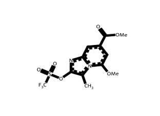 COC(=O)c1cc(OC)n2c(C)c(OS(=O)(=O)C(F)(F)F)nc2c1